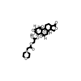 CC(C)[C@]12O[C@H]1[C@@H]1O[C@]13[C@]1(O[C@H]1C[C@H]1C4=C(CC[C@@]13C)C(=O)OC4)[C@@H]2OC(=O)COC(=O)CN1CCOCC1